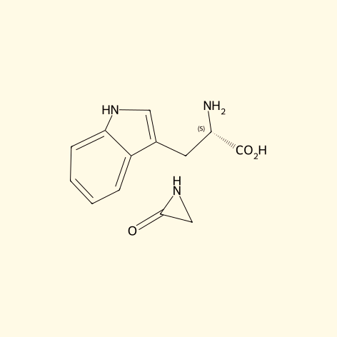 N[C@@H](Cc1c[nH]c2ccccc12)C(=O)O.O=C1CN1